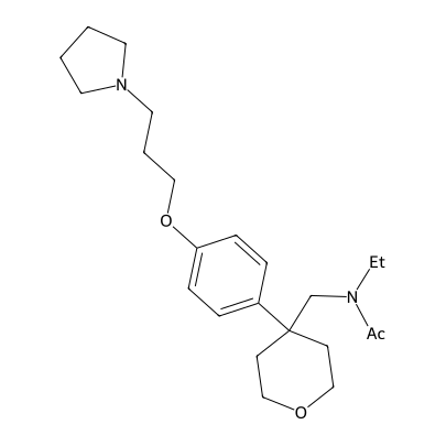 CCN(CC1(c2ccc(OCCCN3CCCC3)cc2)CCOCC1)C(C)=O